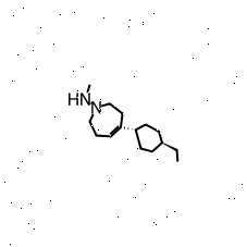 CC[C@H]1CC[C@H](C2=CCCN(NC)CC2)CC1